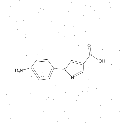 Nc1ccc(-n2cc(C(=O)O)cn2)cc1